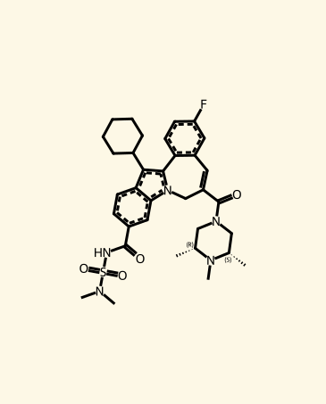 C[C@@H]1CN(C(=O)C2=Cc3cc(F)ccc3-c3c(C4CCCCC4)c4ccc(C(=O)NS(=O)(=O)N(C)C)cc4n3C2)C[C@H](C)N1C